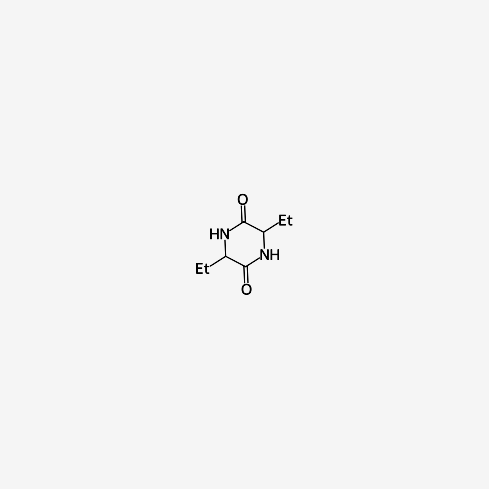 CCC1NC(=O)C(CC)NC1=O